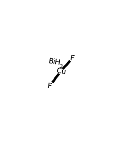 [BiH3].[F][Cu][F]